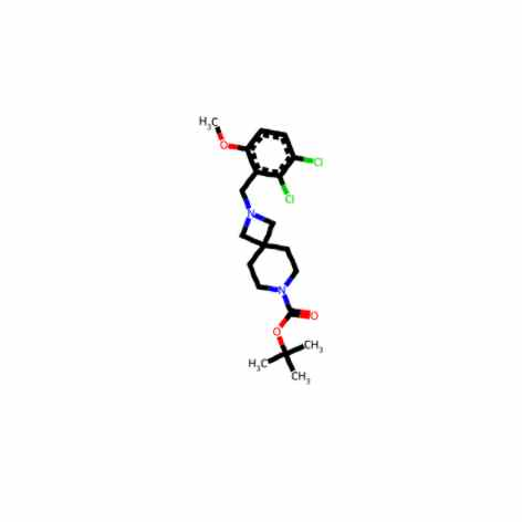 COc1ccc(Cl)c(Cl)c1CN1CC2(CCN(C(=O)OC(C)(C)C)CC2)C1